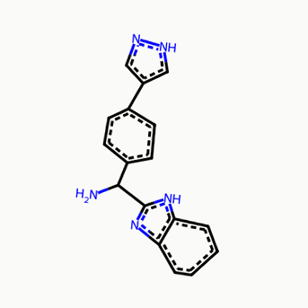 NC(c1ccc(-c2cn[nH]c2)cc1)c1nc2ccccc2[nH]1